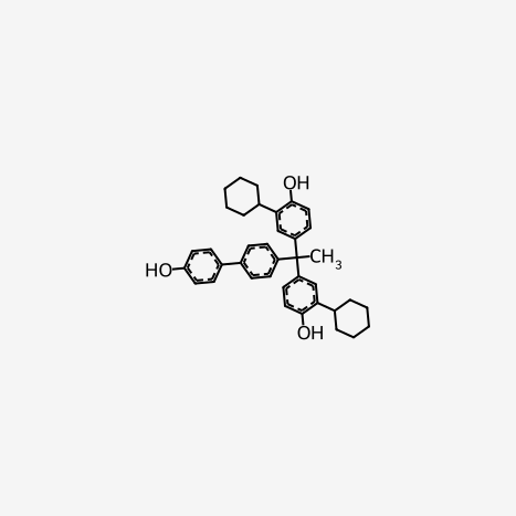 CC(c1ccc(-c2ccc(O)cc2)cc1)(c1ccc(O)c(C2CCCCC2)c1)c1ccc(O)c(C2CCCCC2)c1